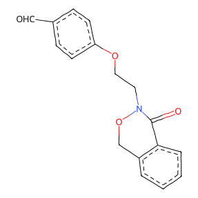 O=Cc1ccc(OCCN2OCc3ccccc3C2=O)cc1